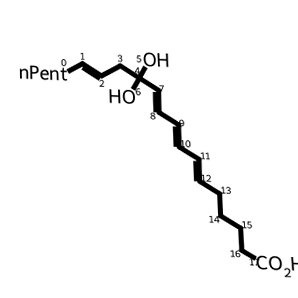 CCCCCC=CCC(O)(O)C=CC=CC=CCCCCC(=O)O